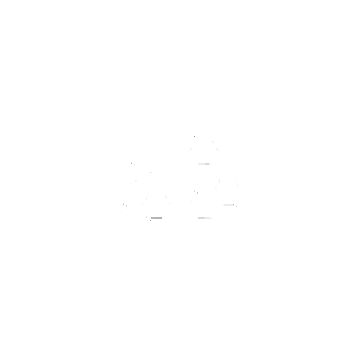 CN(C)S(=O)(=O)c1cc(-c2ccc3ncc(F)c(-c4ccncc4)c3n2)cnc1N